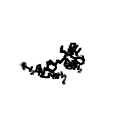 BN1CCN(B)C2CC(CCC3C(CC)N(B)C4CCCCC4N3B)=CCC21